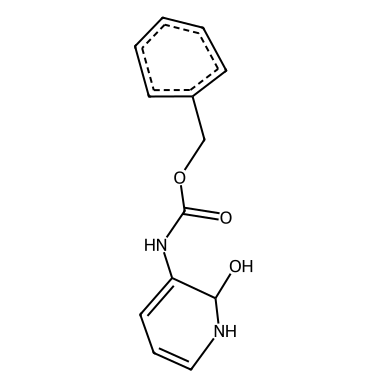 O=C(NC1=CC=CNC1O)OCc1ccccc1